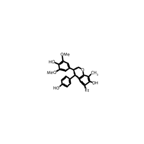 CCc1cc2c(c(C)c1O)OCC(c1cc(OC)c(O)c(OC)c1)C2c1ccc(O)cc1